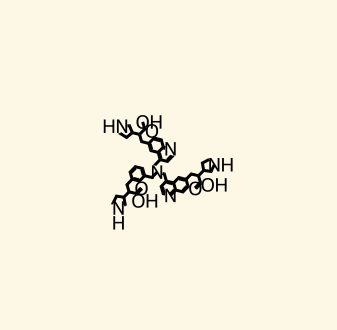 O=C(O)C(Cc1cccc(CN(Cc2ccnc3ccc(CC(C(=O)O)C4CCNC4)cc23)Cc2ccnc3ccc(CC(C(=O)O)C4CCNC4)cc23)c1)C1CCNC1